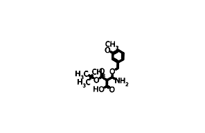 COc1cccc(COC(N)C(C(=O)O)C(=O)OC(C)(C)C)c1